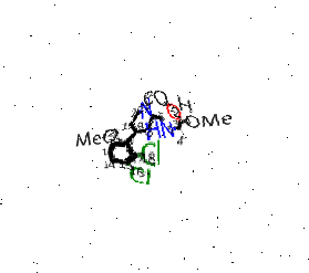 COC(=O)[C@H](C)NCC1CC(c2c(OC)ccc(Cl)c2Cl)CCN1C(=O)O